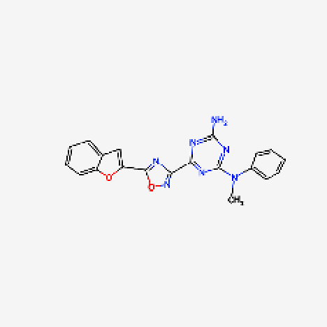 CN(c1ccccc1)c1nc(N)nc(-c2noc(-c3cc4ccccc4o3)n2)n1